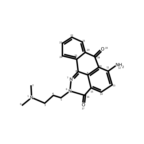 CN(C)CCCn1nc2c3c(c(N)ccc3c1=O)C(=O)c1ccccc1-2